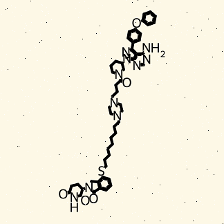 Nc1ncnc2c1c(-c1ccc(Oc3ccccc3)cc1)nn2[C@@H]1CCCN(C(=O)CCCN2CCN(CCCCCCCCCSc3cccc4c3CN(C3CCC(=O)NC3=O)C4=O)CC2)C1